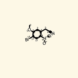 COc1cc(CC#N)c([N+](=O)[O-])cc1Br